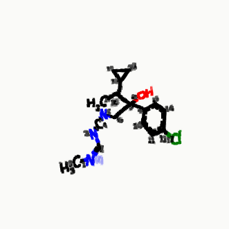 C/N=C\N=C=NCC(O)(c1ccc(Cl)cc1)C(C)C1CC1